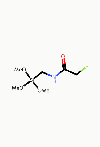 CO[Si](CNC(=O)CF)(OC)OC